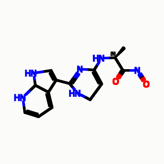 C[C@H](NC1=CCNC(C2=CNC3NC=CC=C23)=N1)C(=O)N=O